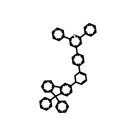 C1=CC(c2ccc3c(c2)-c2ccccc2C3(c2ccccc2)c2ccccc2)CC(c2ccc(-c3cc(-c4ccccc4)nc(-c4ccccc4)c3)cc2)=C1